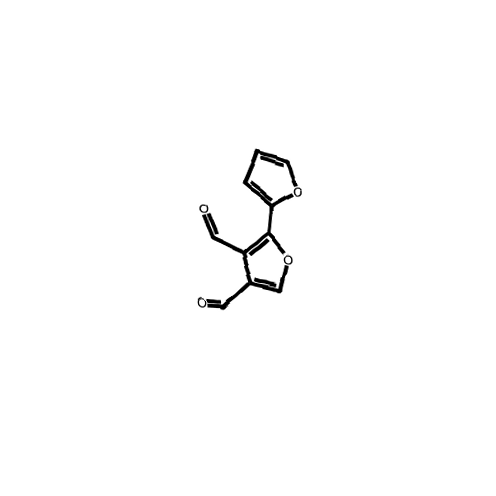 O=Cc1coc(-c2ccco2)c1C=O